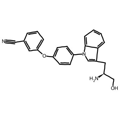 N#Cc1cccc(Oc2ccc(-n3cc(C[C@H](N)CO)c4ccccc43)cc2)c1